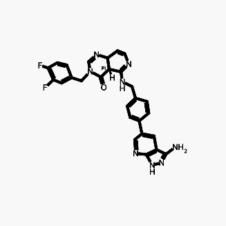 Nc1n[nH]c2ncc(-c3ccc(CNC4=NC=CC5N=CN(Cc6ccc(F)c(F)c6)C(=O)[C@@H]45)cc3)cc12